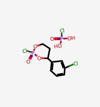 O=P(O)(O)Cl.O=P1(Cl)OCCC(c2cccc(Cl)c2)O1